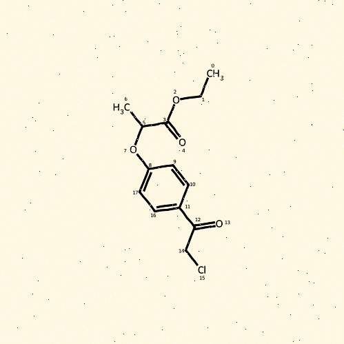 CCOC(=O)C(C)Oc1ccc(C(=O)CCl)cc1